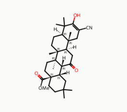 COC(=O)[C@]12CCC(C)(C)C[C@H]1[C@H]1C(=O)C[C@@H]3[C@@]4(C)CC(C#N)=C(O)C(C)(C)[C@@H]4CC[C@@]3(C)[C@]1(C)CC2